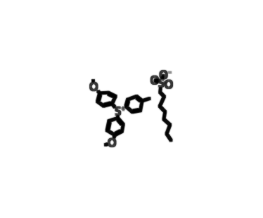 CCCCCCCCS(=O)(=O)[O-].COc1ccc([S+](c2ccc(C)cc2)c2ccc(OC)cc2)cc1